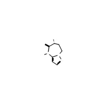 C[C@H]1CCn2nccc2N(C)C1=O